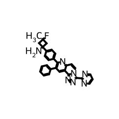 CC1(F)CC(N)(c2ccc(-c3nc4ccn5c(-c6ncccn6)nnc5c4cc3-c3ccccc3)cc2)C1